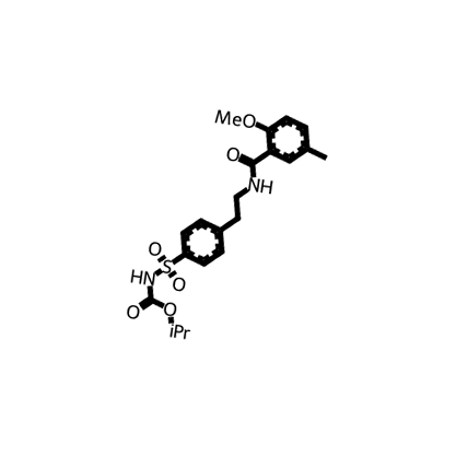 COc1ccc(C)cc1C(=O)NCCc1ccc(S(=O)(=O)NC(=O)OC(C)C)cc1